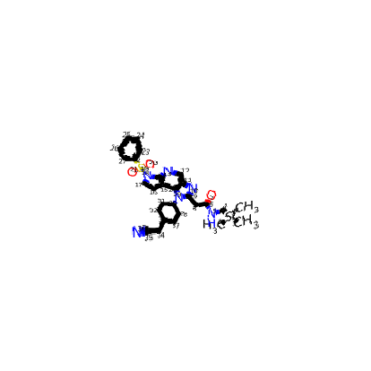 C[Si](C)(C)CNC(=O)Cc1nc2cnc3c(ccn3S(=O)(=O)c3ccccc3)c2n1C1CCC(CC#N)CC1